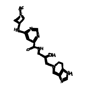 CC(=O)N1CC(Nc2cc(C(=O)NCC(O)CN3CCc4[nH]cnc4C3)ncn2)C1